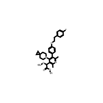 Cc1nc(C)c(C(OC(C)(C)C)C(=O)OC(C)C)c(N2CCC3(CC2)CC3)c1-c1ccc(OCCc2ccc(F)cc2)cc1